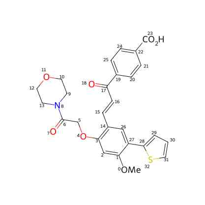 COc1cc(OCC(=O)N2CCOCC2)c(C=CC(=O)c2ccc(C(=O)O)cc2)cc1-c1cccs1